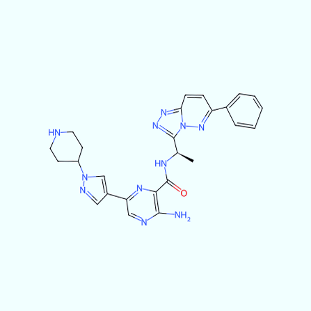 C[C@@H](NC(=O)c1nc(-c2cnn(C3CCNCC3)c2)cnc1N)c1nnc2ccc(-c3ccccc3)nn12